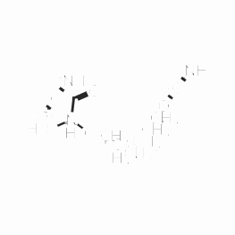 C.C.C.C.C.C.CN(C)C=O.N=C=O.N=C=O